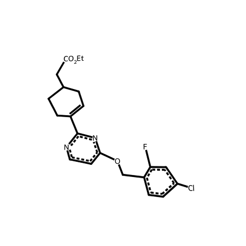 CCOC(=O)CC1CC=C(c2nccc(OCc3ccc(Cl)cc3F)n2)CC1